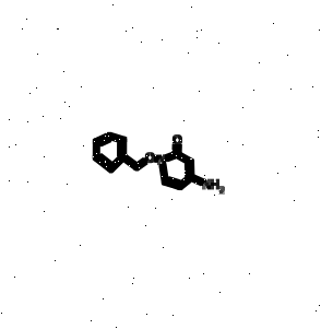 Nc1ccn(OCc2ccccc2)c(=O)c1